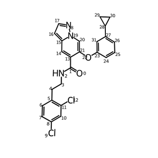 O=C(NCCc1ccc(Cl)cc1Cl)c1cc2ccnn2cc1Oc1cccc(C2CC2)c1